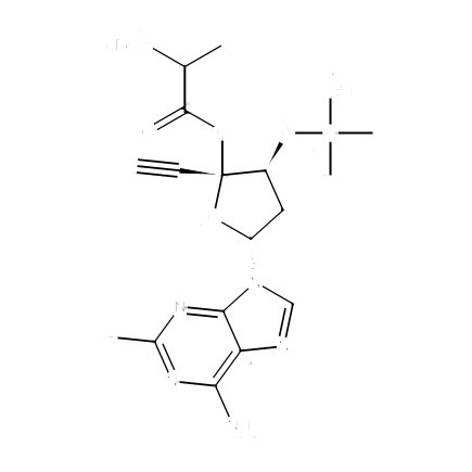 C#C[C@]1(OC(=O)C(C)CCCCC)O[C@@H](n2cnc3c(N)nc(F)nc32)C[C@@H]1O[Si](C)(C)C(C)(C)C